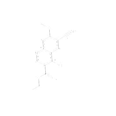 CCOC(=O)c1cnc2cc(OC)c(C#N)cc2c1Cl